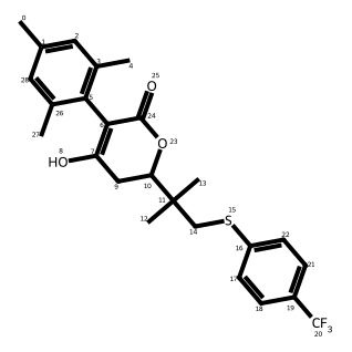 Cc1cc(C)c(C2=C(O)CC(C(C)(C)CSc3ccc(C(F)(F)F)cc3)OC2=O)c(C)c1